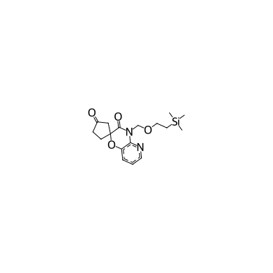 C[Si](C)(C)CCOCN1C(=O)C2(CCC(=O)C2)Oc2cccnc21